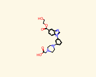 O=C(O)CN1CCN(c2cccc(-n3cnc4cc(C(=O)OCCO)ccc43)c2)CC1